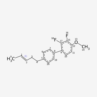 C/C=C/CCc1ccc(-c2ccc(OC)c(F)c2F)cc1